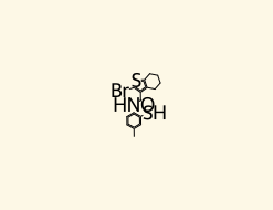 Cc1ccc(NC(=O)c2c(Br)sc3c2CCCC3)c(S)c1